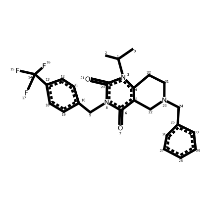 CC(C)n1c2c(c(=O)n(Cc3ccc(C(F)(F)F)cc3)c1=O)CN(Cc1ccccc1)CC2